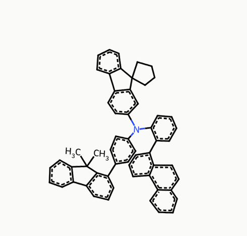 CC1(C)c2ccccc2-c2cccc(-c3ccc(N(c4ccc5c(c4)C4(CCCC4)c4ccccc4-5)c4ccccc4-c4cccc5c4ccc4ccccc45)cc3)c21